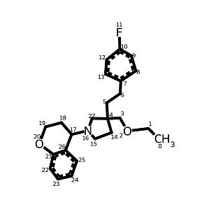 CCOCC1(CCc2ccc(F)cc2)CCN(C2CCOc3ccccc32)C1